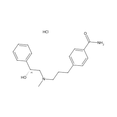 CN(CCCc1ccc(C(N)=O)cc1)C[C@H](O)c1ccccc1.Cl